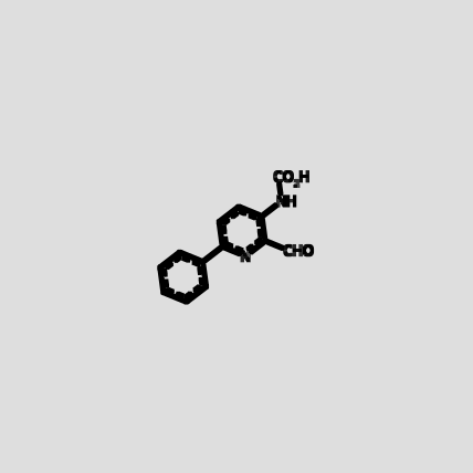 O=Cc1nc(-c2ccccc2)ccc1NC(=O)O